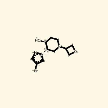 O[C@H]1CCN(C2COC2)C[C@@H]1n1cc(Br)cn1